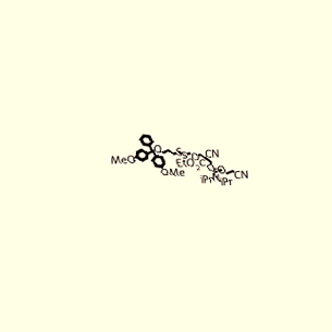 CCOC(=O)C(C#N)(COCSSCCCOC(c1ccccc1)(c1ccc(OC)cc1)c1ccc(OC)cc1)COP(OCCC#N)N(C(C)C)C(C)C